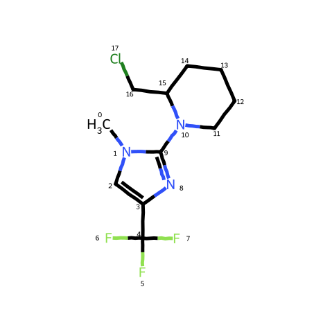 Cn1cc(C(F)(F)F)nc1N1CCCCC1CCl